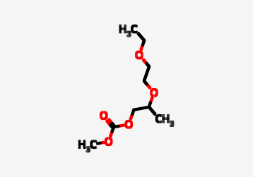 CCOCCOC(C)COC(=O)OC